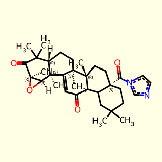 CC1(C)CC[C@]2(C(=O)n3ccnc3)CC[C@]3(C)C(C(=O)C=C4[C@@]5(C)[C@H]6O[C@@]6(C#N)C(=O)C(C)(C)[C@@H]5CC[C@]43C)C2C1